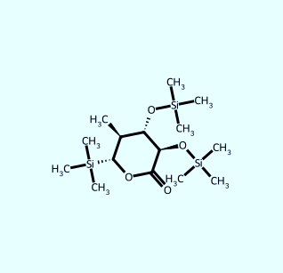 C[C@H]1[C@H](O[Si](C)(C)C)[C@@H](O[Si](C)(C)C)C(=O)O[C@@H]1[Si](C)(C)C